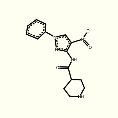 O=C(Nc1nn(-c2ccccc2)cc1[N+](=O)[O-])C1CCNCC1